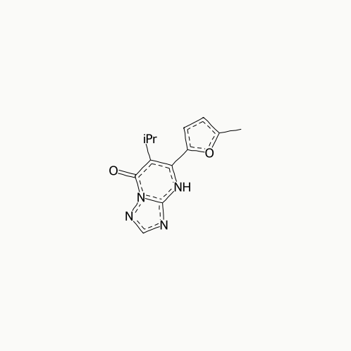 Cc1ccc(-c2[nH]c3ncnn3c(=O)c2C(C)C)o1